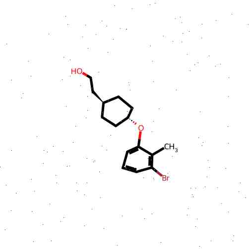 Cc1c(Br)cccc1O[C@H]1CC[C@H](CCO)CC1